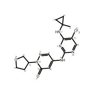 CC1(Nc2nc(Nc3cnn(C4CCOC4)c(=O)c3)ncc2C(F)(F)F)CC1